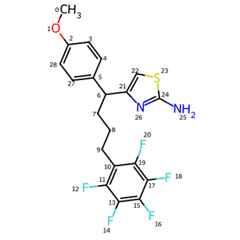 COc1ccc(C(CCCc2c(F)c(F)c(F)c(F)c2F)c2csc(N)n2)cc1